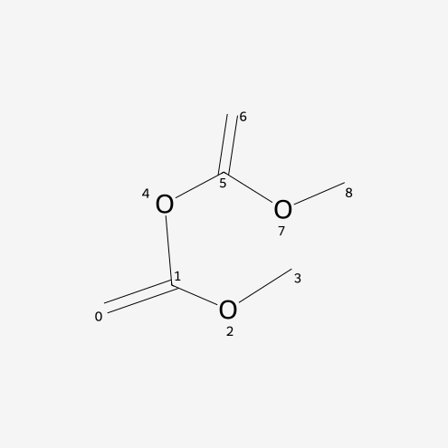 C=C(OC)OC(=C)OC